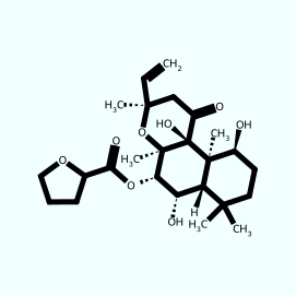 C=C[C@@]1(C)CC(=O)[C@]2(O)[C@@]3(C)[C@@H](O)CCC(C)(C)[C@@H]3[C@H](O)[C@H](OC(=O)C3CCCO3)[C@@]2(C)O1